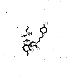 CCNC(=O)[C@@H]1C[C@@]2(CN(CCCN3CCC(O)CC3)C(=O)N2)C2=C(C=CC(F)C2=O)O1